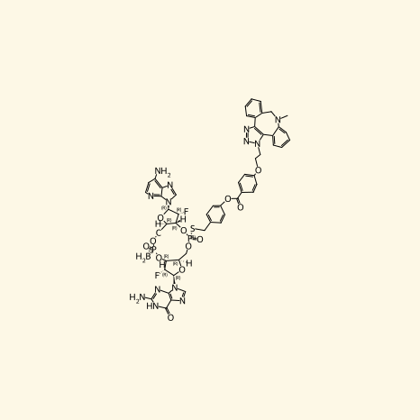 B[P@]1(=O)OC[C@H]2O[C@@H](n3cnc4c(N)ccnc43)[C@H](F)[C@@H]2O[P@](=O)(SCc2ccc(OC(=O)c3ccc(OCCn4nnc5c4-c4ccccc4N(C)Cc4ccccc4-5)cc3)cc2)OC[C@H]2O[C@@H](n3cnc4c(=O)[nH]c(N)nc43)[C@H](F)[C@@H]2O1